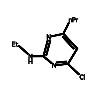 CCCc1cc(Cl)nc(NCC)n1